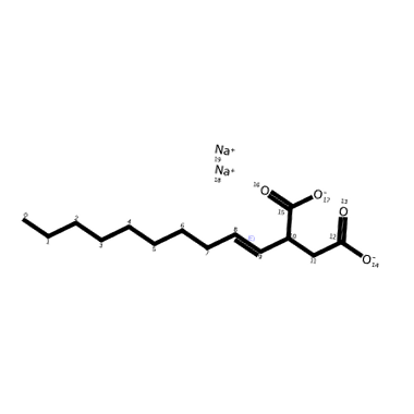 CCCCCCCC/C=C/C(CC(=O)[O-])C(=O)[O-].[Na+].[Na+]